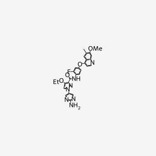 CCOc1cn(-c2cnc(N)nc2)nc1C(=O)Nc1ccc(Oc2ccnc3cc(OC)c(C)cc23)cc1F